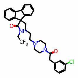 O=C(Cc1cccc(Cl)c1)N1CCN(CCCCC2(C(=O)NCC(F)(F)F)c3ccccc3-c3ccccc32)CC1